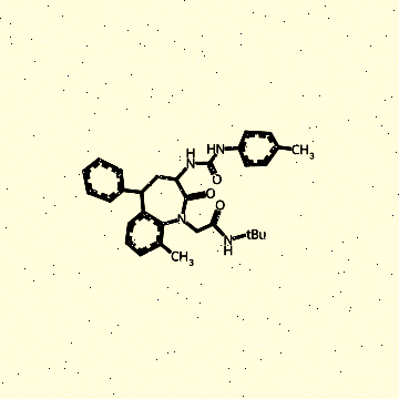 Cc1ccc(NC(=O)NC2CC(c3ccccc3)c3cccc(C)c3N(CC(=O)NC(C)(C)C)C2=O)cc1